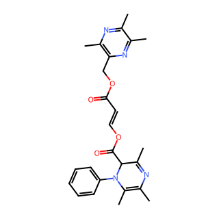 CC1=NC(C)=C(C)N(c2ccccc2)C1C(=O)O/C=C/C(=O)OCc1nc(C)c(C)nc1C